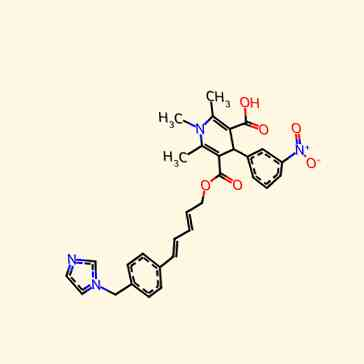 CC1=C(C(=O)O)C(c2cccc([N+](=O)[O-])c2)C(C(=O)OCC=CC=Cc2ccc(Cn3ccnc3)cc2)=C(C)N1C